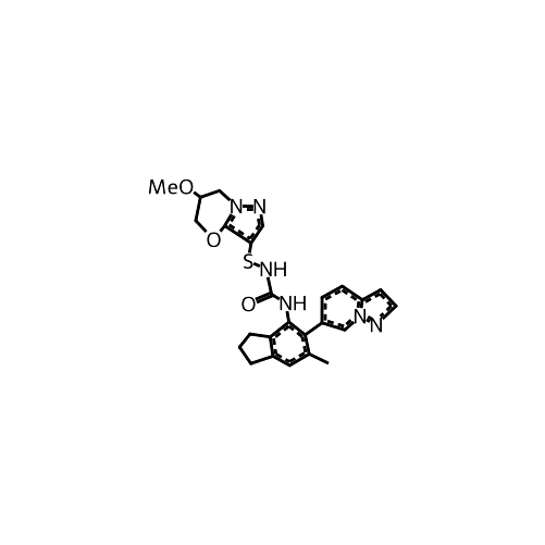 COC1COc2c(SNC(=O)Nc3c4c(cc(C)c3-c3ccc5ccnn5c3)CCC4)cnn2C1